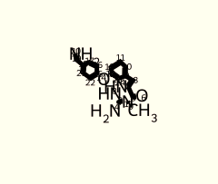 CN(C(=N)N)C(=O)c1cc2cccc(Oc3ccc(CN)cc3)c2[nH]1